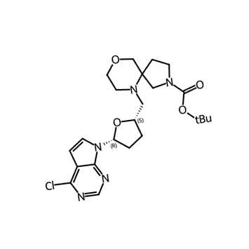 CC(C)(C)OC(=O)N1CCC2(COCCN2C[C@@H]2CC[C@H](n3ccc4c(Cl)ncnc43)O2)C1